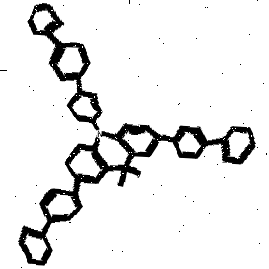 CC1(C)c2cc(-c3ccc(-c4ccccc4)cc3)ccc2N(c2ccc(-c3ccc(-c4ccccc4)cc3)cc2)c2ccc(-c3ccc(-c4ccccc4)cc3)cc21